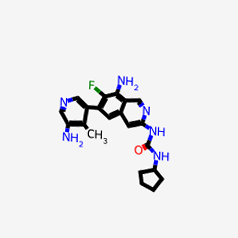 Cc1c(N)cncc1-c1cc2cc(NC(=O)NC3CCCC3)ncc2c(N)c1F